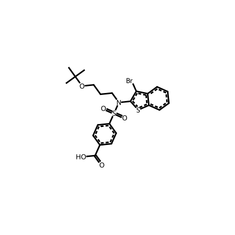 CC(C)(C)OCCCN(c1sc2ccccc2c1Br)S(=O)(=O)c1ccc(C(=O)O)cc1